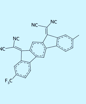 [C-]#[N+]/C(C#N)=C1/c2cc(C(F)(F)F)ccc2-c2cc3c(cc21)/C(=C(\C#N)[N+]#[C-])c1cc(C)ccc1-3